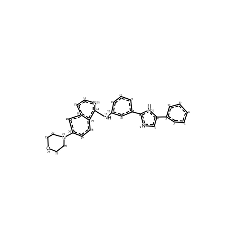 c1ccc(-c2cnc(-c3cccc(Nc4nccc5cc(N6CCOCC6)ccc45)c3)[nH]2)cc1